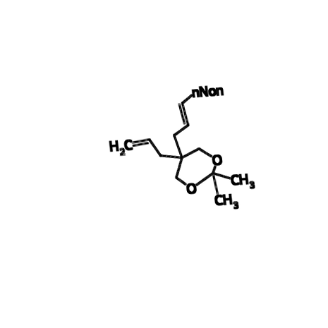 C=CCC1(CC=CCCCCCCCCC)COC(C)(C)OC1